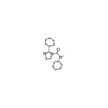 CN(C(=O)n1ccnc1-c1ccccc1)c1ccccc1